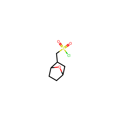 O=S(=O)(Cl)CC1CC2CCC1O2